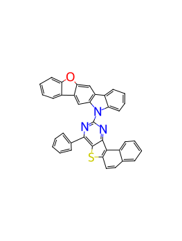 c1ccc(-c2nc(-n3c4ccccc4c4cc5oc6ccccc6c5cc43)nc3c2sc2ccc4ccccc4c23)cc1